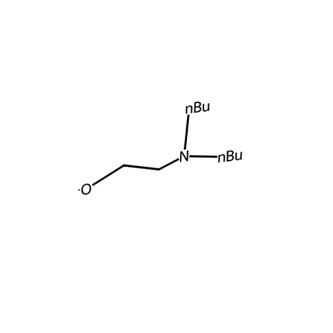 CCCCN(CC[O])CCCC